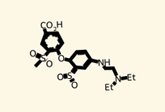 CCN(CC)CCNC1=CC(=S(=O)=O)C(Oc2ccc(C(=O)O)cc2S(C)(=O)=O)C=C1